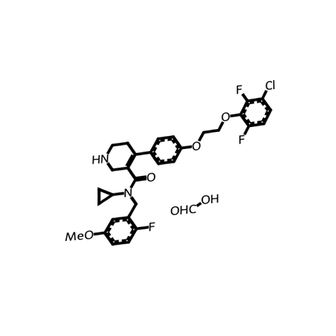 COc1ccc(F)c(CN(C(=O)C2=C(c3ccc(OCCOc4c(F)ccc(Cl)c4F)cc3)CCNC2)C2CC2)c1.O=CO